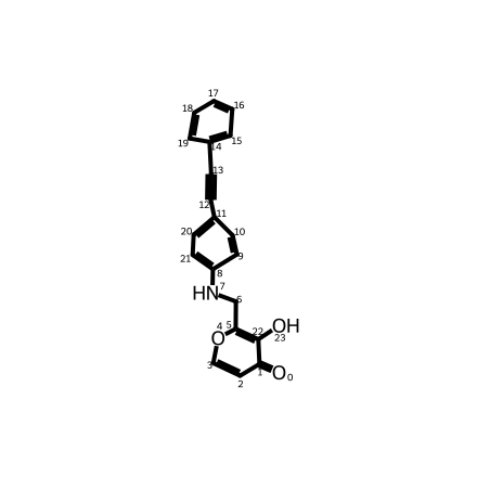 O=c1ccoc(CNc2ccc(C#Cc3ccccc3)cc2)c1O